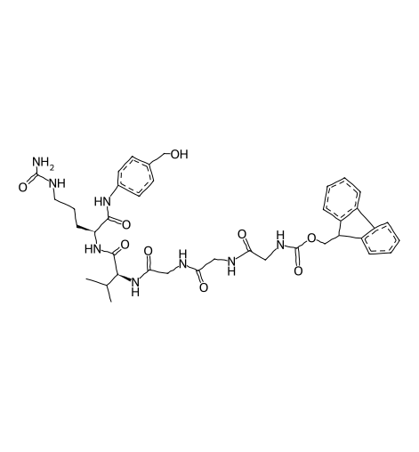 CC(C)[C@H](NC(=O)CNC(=O)CNC(=O)CNC(=O)OCC1c2ccccc2-c2ccccc21)C(=O)N[C@@H](CCCNC(N)=O)C(=O)Nc1ccc(CO)cc1